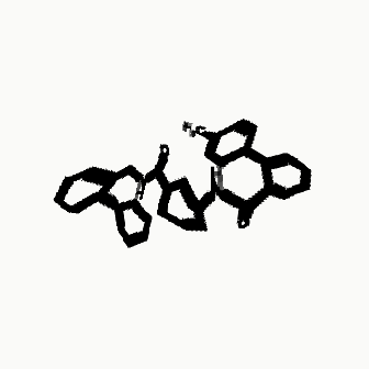 O=C(NCc1ccccc1-c1ccccc1)c1cccc(NC(=O)c2ccccc2-c2ccc(C(F)(F)F)cc2)c1